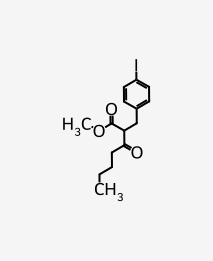 CCCCC(=O)C(Cc1ccc(I)cc1)C(=O)OC